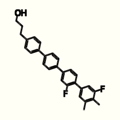 Cc1cc(-c2ccc(-c3ccc(-c4ccc(CCCO)cc4)cc3)cc2F)cc(F)c1C